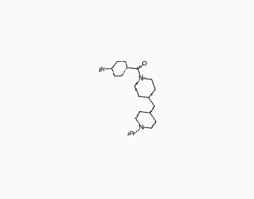 CC(C)C1CCC(C(=O)N2CCC(CC3CCN(C(C)C)CC3)CC2)CC1